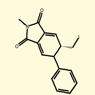 CN1C(=O)C2=CC(c3ccccc3)[C@@H](CI)C=C2C1=O